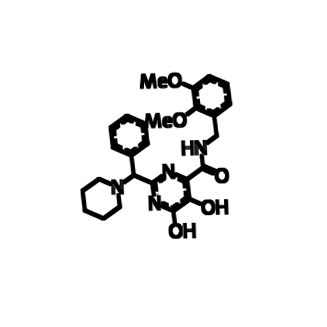 COc1cccc(CNC(=O)c2nc(C(c3ccccc3)N3CCCCC3)nc(O)c2O)c1OC